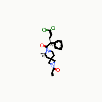 C=CC(=O)N1CC2(CCN(C(=O)[C@@H](CC=C(Cl)Cl)c3ccccc3)[C@H](C)C2)C1